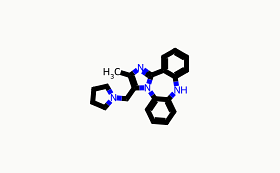 Cc1nc2n(c1CN1CCCC1)-c1ccccc1Nc1ccccc1-2